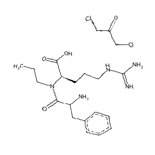 CCCN(C(=O)C(N)Cc1ccccc1)[C@H](CCCNC(=N)N)C(=O)O.O=C(CCl)CCl